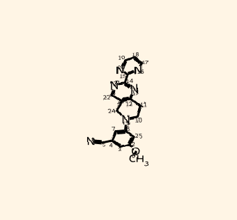 COc1cc(C#N)cc(N2CCc3nc(-c4ncccn4)ncc3C2)c1